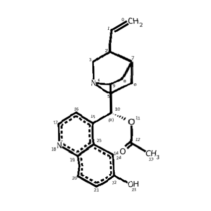 C=CC1CN2CCC1CC2[C@H](OC(C)=O)c1ccnc2ccc(O)cc12